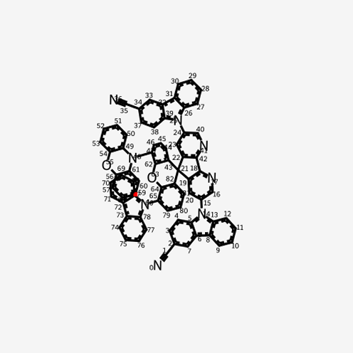 N#Cc1ccc2c(c1)c1ccccc1n2-c1cnc2c(c1)C1(c3cc(-n4c5ccccc5c5cc(C#N)ccc54)cnc3-2)c2cccc(N3c4ccccc4Oc4ccccc43)c2Oc2c(-n3c4ccccc4c4ccccc43)cccc21